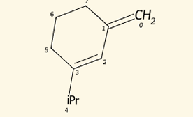 C=C1C=C(C(C)C)CCC1